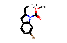 CC(C)(C)OC(=O)n1c(CC(=O)O)cc2ccc(Br)cc21